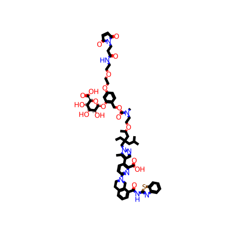 CCC(CC(C)C)(CC(C)OCCN(C)C(=O)OCc1ccc(OCCOCCNC(=O)CCN2C(=O)C=CC2=O)cc1O[C@@H]1O[C@H](C(=O)O)[C@@H](O)[C@H](O)[C@H]1O)Cn1ncc(-c2ccc(N3CCc4cccc(C(=O)Nc5nc6ccccc6s5)c4C3)nc2C(=O)O)c1C